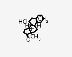 C[C@]12CCCCC1CC[C@@H]1[C@@H]2CC[C@]2(C)C(=O)CC[C@@H]12.Cl